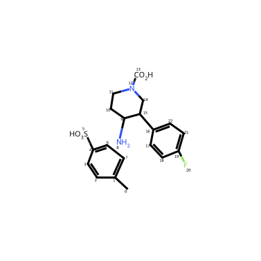 Cc1ccc(S(=O)(=O)O)cc1.NC1CCN(C(=O)O)CC1c1ccc(F)cc1